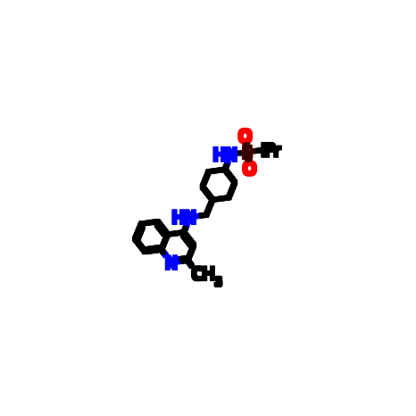 Cc1cc(NCC2CCC(NS(=O)(=O)C(C)C)CC2)c2ccccc2n1